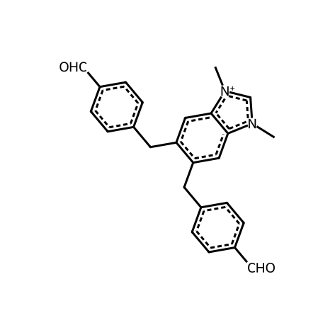 Cn1c[n+](C)c2cc(Cc3ccc(C=O)cc3)c(Cc3ccc(C=O)cc3)cc21